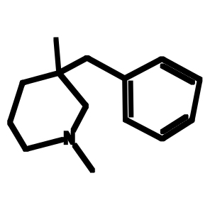 CN1CCCC(C)(Cc2ccccc2)C1